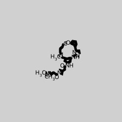 CN(C)C/C=C/C(=O)N1CC(CC(=O)Nc2cc3cc(c2)Nc2nccc(n2)-c2cccc(c2)OCC/C=C/CN(C)C3)C1